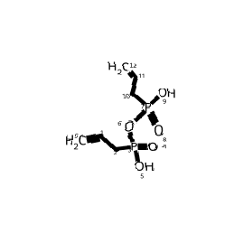 C=CCP(=O)(O)OP(=O)(O)CC=C